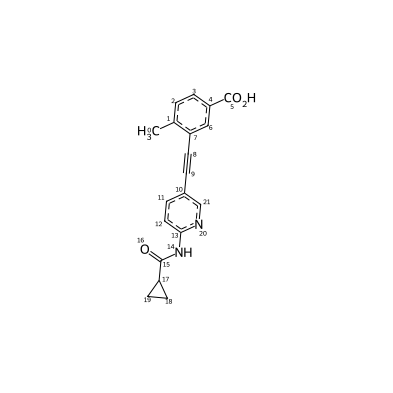 Cc1ccc(C(=O)O)cc1C#Cc1ccc(NC(=O)C2CC2)nc1